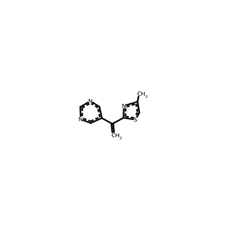 C=C(c1cncnc1)c1nc(C)cs1